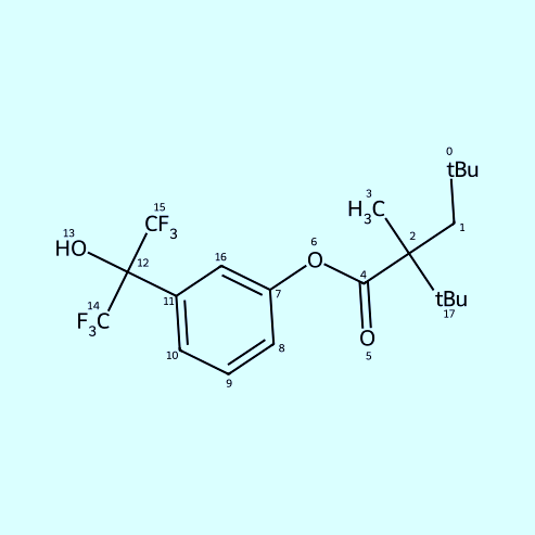 CC(C)(C)CC(C)(C(=O)Oc1cccc(C(O)(C(F)(F)F)C(F)(F)F)c1)C(C)(C)C